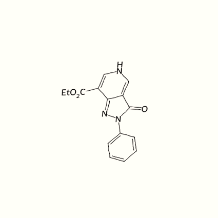 CCOC(=O)c1c[nH]cc2c(=O)n(-c3ccccc3)nc1-2